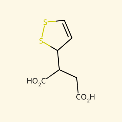 O=C(O)CC(C(=O)O)C1C=CSS1